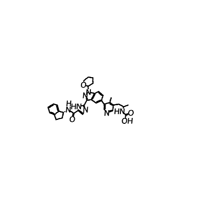 Cc1c(CC(C)NC(=O)O)cncc1-c1ccc2c(c1)c(-c1ncc(C(=O)N[C@@H]3CCc4ccccc43)[nH]1)nn2C1CCCCO1